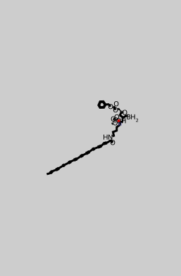 B[C@@H]1O[C@H](COC(=O)OCc2ccccc2)C(OP(=O)(O)OC)[C@@H]1C/C=C/CCCCNC(=O)C#CC#CC#CC#CC#CC#CC#CC#CC#CC#CC